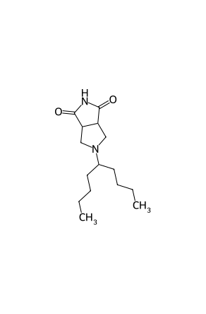 CCCCC(CCCC)N1CC2C(=O)NC(=O)C2C1